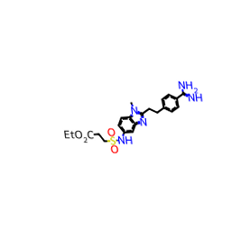 CCOC(=O)CCS(=O)(=O)Nc1ccc2c(c1)nc(CCc1ccc(C(=N)N)cc1)n2C